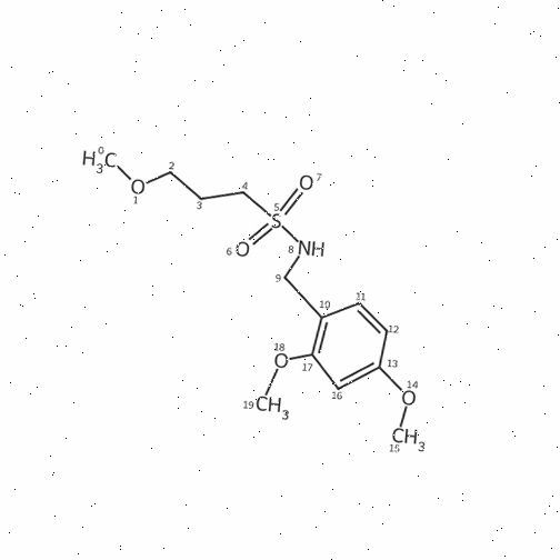 COCCCS(=O)(=O)NCc1ccc(OC)cc1OC